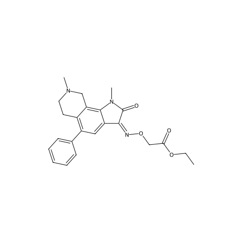 CCOC(=O)CON=C1C(=O)N(C)c2c1cc(-c1ccccc1)c1c2CN(C)CC1